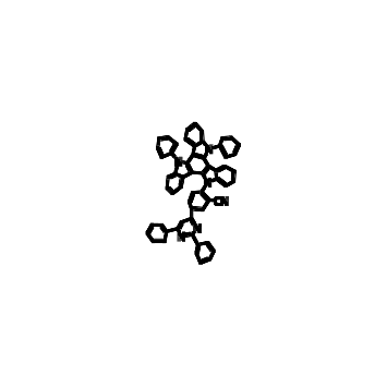 N#Cc1cc(-c2cc(-c3ccccc3)nc(-c3ccccc3)n2)ccc1-n1c2ccccc2c2c3c(c4ccccc4n3-c3ccccc3)c3c(c4ccccc4n3-c3ccccc3)c21